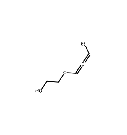 CCC=C=COCCO